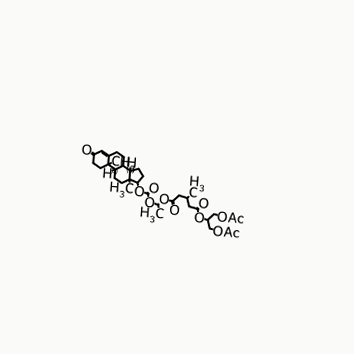 CC(=O)OCC(COC(C)=O)OC(=O)CC(C)CC(=O)OC(C)OC(=O)OC1CC[C@H]2C3CCC4=CC(=O)CCC4(C)[C@H]3CCC12C